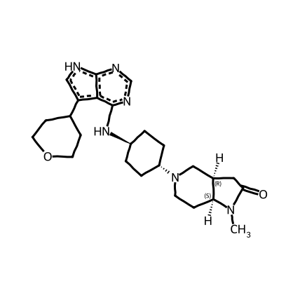 CN1C(=O)C[C@@H]2CN([C@H]3CC[C@H](Nc4ncnc5[nH]cc(C6CCOCC6)c45)CC3)CC[C@@H]21